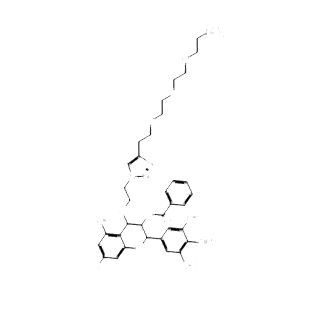 NCCOCCOCCOCCc1cn(CCOC2c3c(O)cc(O)cc3OC(c3cc(O)c(O)c(O)c3)C2OC(=O)c2ccccc2)nn1